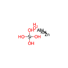 O.O[Si](O)(O)O.[AlH3].[KH].[Zn]